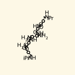 CC(C)NC1CC1c1ccc(COC(=O)N(C)Cc2ccc(C(=O)Nc3cc(-c4ccc(N)c(NC(=O)c5ccc(NC(=O)OCc6ccc([C@H]7C[C@@H]7NC(C)C)cc6)cc5)c4)ccc3N)cc2)cc1